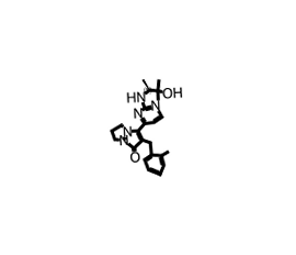 Cc1ccccc1Cc1c(-c2ccnc(N[C@@H](C)C(C)(C)O)n2)n2n(c1=O)CCC2